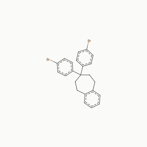 Brc1ccc(C2(c3ccc(Br)cc3)CCc3ccccc3CC2)cc1